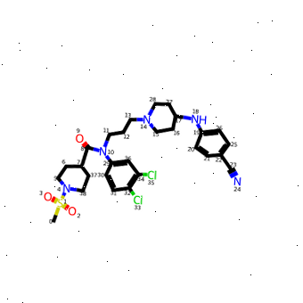 CS(=O)(=O)N1CCC(C(=O)N(CCCN2CCC(Nc3ccc(C#N)cc3)CC2)c2ccc(Cl)c(Cl)c2)CC1